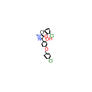 Cn1nc(-c2ccc(OCc3ccc(Cl)cc3)cc2O)c(Oc2ccccc2Cl)c1C(F)(F)F